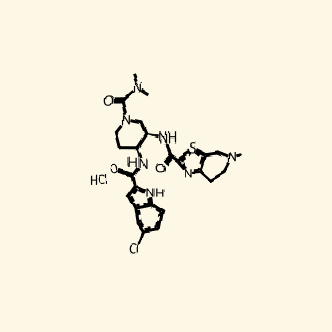 CN1CCc2nc(C(=O)N[C@@H]3CN(C(=O)N(C)C)CC[C@@H]3NC(=O)c3cc4cc(Cl)ccc4[nH]3)sc2C1.Cl